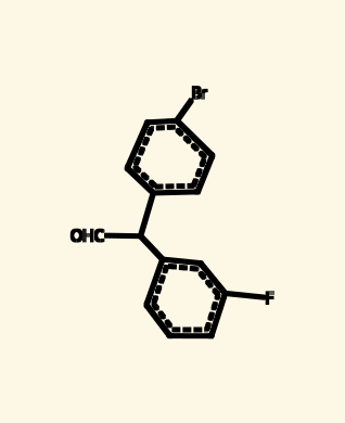 O=CC(c1ccc(Br)cc1)c1cccc(F)c1